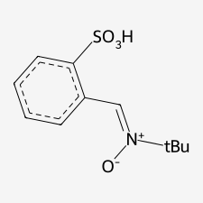 CC(C)(C)[N+]([O-])=Cc1ccccc1S(=O)(=O)O